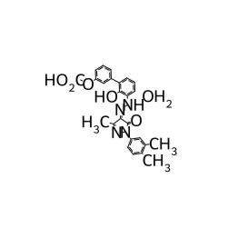 CC1=NN(c2ccc(C)c(C)c2)C(=O)C1=NNc1cccc(-c2cccc(OC(=O)O)c2)c1O.O